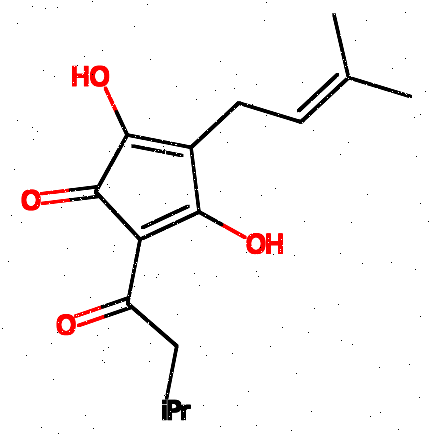 CC(C)=CCC1=C(O)C(=O)C(C(=O)CC(C)C)=C1O